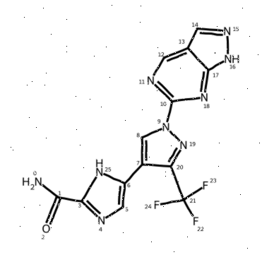 NC(=O)c1ncc(-c2cn(-c3ncc4cn[nH]c4n3)nc2C(F)(F)F)[nH]1